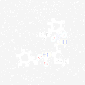 O=C(N[C@@H](CCNS(=O)(=O)c1ccccc1[N+](=O)[O-])C(=O)O)OCc1ccccc1